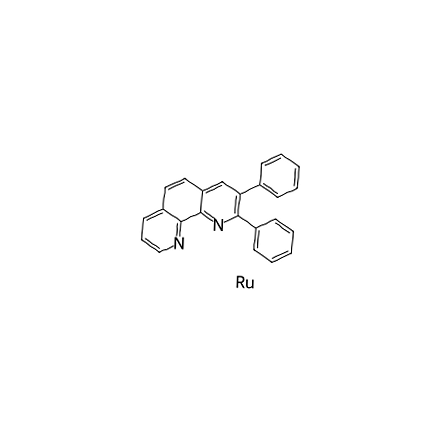 [Ru].c1ccc(-c2cc3ccc4cccnc4c3nc2-c2ccccc2)cc1